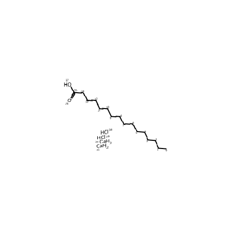 CCCCCCCCCCCCCCCC(=O)O.Cl.Cl.[CaH2].[CaH2]